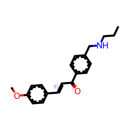 CCCNCc1ccc(C(=O)/C=C/c2ccc(OC)cc2)cc1